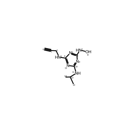 C#CCNc1nc(NO)nc(NC(C)C)n1